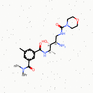 CCCN(CCC)C(=O)c1cc(C)cc(C(=O)N[C@@H](C)[C@H](O)[C@H](N)CNC(=O)N2CCOCC2)c1